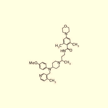 COc1ccc(N(Cc2cnccc2C)C2CCN(C(C)CCNC(=O)c3c(C)cc(N4CCOCC4)cc3C)CC2)cc1